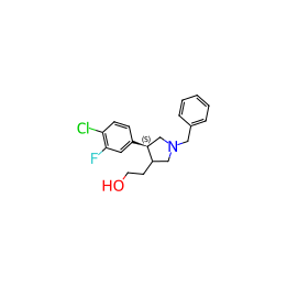 OCCC1CN(Cc2ccccc2)C[C@@H]1c1ccc(Cl)c(F)c1